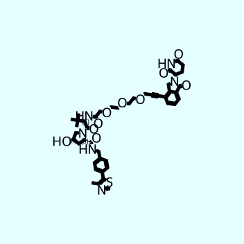 Cc1ncsc1-c1ccc(CNC(=O)[C@@H]2C[C@@H](O)CN2C(=O)[C@@H](NC(=O)COCCOCCOCC#Cc2cccc3c2CN(C2CCC(=O)NC2=O)C3=O)C(C)(C)C)cc1